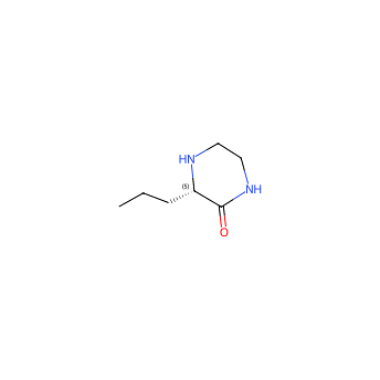 CCC[C@@H]1NCCNC1=O